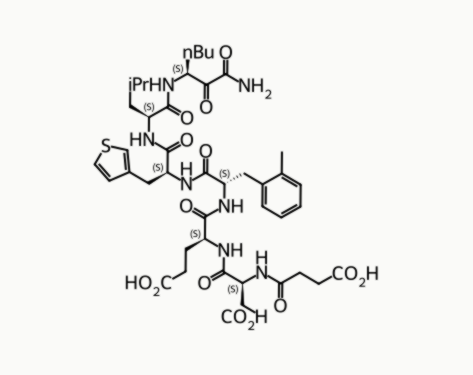 CCCC[C@H](NC(=O)[C@H](CC(C)C)NC(=O)[C@H](Cc1ccsc1)NC(=O)[C@H](Cc1ccccc1C)NC(=O)[C@H](CCC(=O)O)NC(=O)[C@H](CC(=O)O)NC(=O)CCC(=O)O)C(=O)C(N)=O